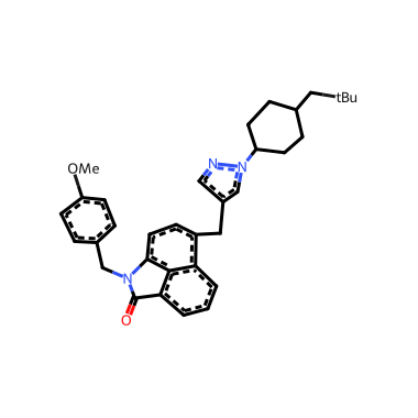 COc1ccc(CN2C(=O)c3cccc4c(Cc5cnn(C6CCC(CC(C)(C)C)CC6)c5)ccc2c34)cc1